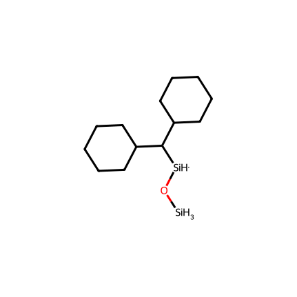 [SiH3]O[SiH]C(C1CCCCC1)C1CCCCC1